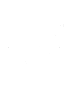 Cn1cc(-c2cnccn2)cn1